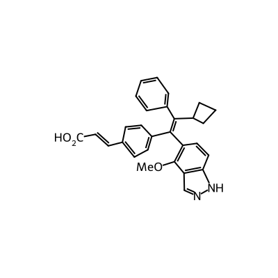 COc1c(C(=C(c2ccccc2)C2CCC2)c2ccc(C=CC(=O)O)cc2)ccc2[nH]ncc12